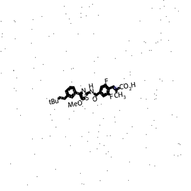 COc1sc(NC(=O)c2cc(F)c(/C=C(\C)C(=O)O)c(F)c2)nc1-c1cccc(CCC(C)(C)C)c1